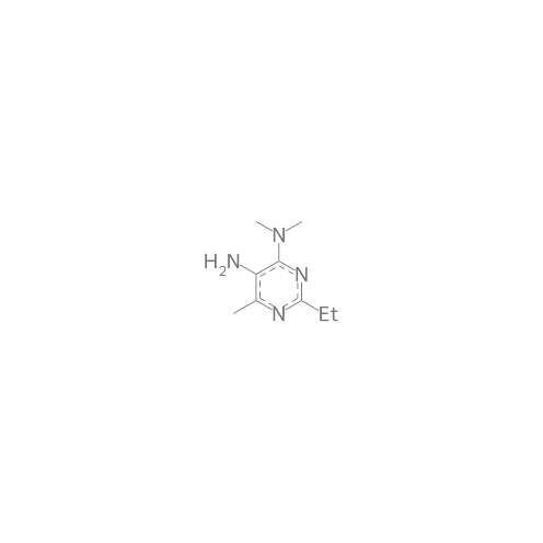 CCc1nc(C)c(N)c(N(C)C)n1